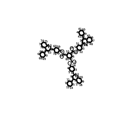 O=C(Oc1ccc(-c2cc(-c3ccccc3)c3ccccc3n2)cc1)c1cc(C(=O)Oc2ccc(-c3cc(-c4ccccc4)c4ccccc4n3)cc2)cc(C(=O)Oc2ccc(-c3cc(-c4ccccc4)c4ccccc4n3)cc2)c1